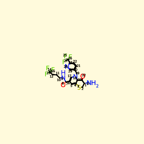 N[C@H]1CSC2=CC(C(=O)NCCCC(F)(F)F)=CN(Cc3ccc(C(F)(F)F)nc3)C2C1=O